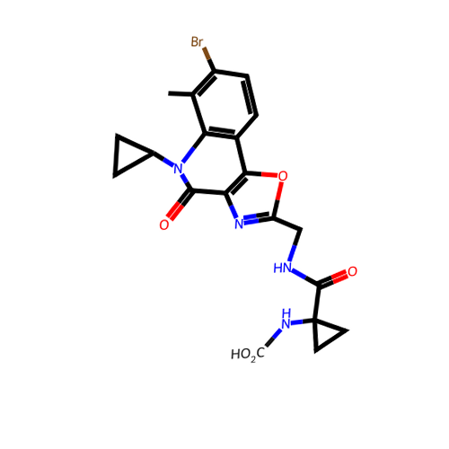 Cc1c(Br)ccc2c3oc(CNC(=O)C4(NC(=O)O)CC4)nc3c(=O)n(C3CC3)c12